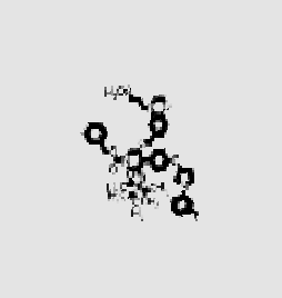 COCCCN1CCOc2ccc(COC3CN(C(=O)OCc4ccccc4)CC(O[Si](C(C)C)(C(C)C)C(C)C)C3c3ccc(OC4CCN(c5cccc(F)c5)C4)cc3)cc21